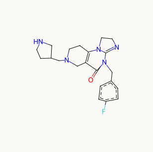 O=C1C2=C(CCN(CC3CCNC3)C2)N2CCN=C2N1Cc1ccc(F)cc1